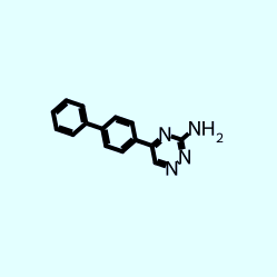 Nc1nncc(-c2ccc(-c3ccccc3)cc2)n1